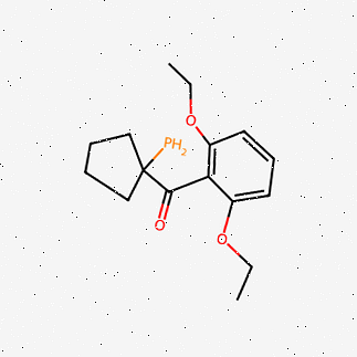 CCOc1cccc(OCC)c1C(=O)C1(P)CCCC1